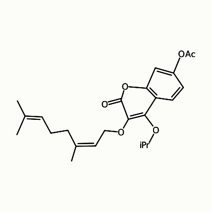 CC(=O)Oc1ccc2c(OC(C)C)c(OCC=C(C)CCC=C(C)C)c(=O)oc2c1